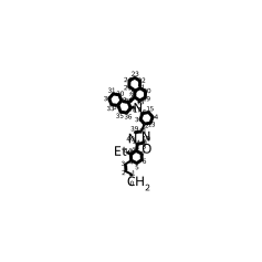 C=C/C=C\c1ccc2oc3nc(-c4cccc(-n5c6ccc7ccccc7c6c6c7ccccc7ccc65)c4)cnc3c2c1CC